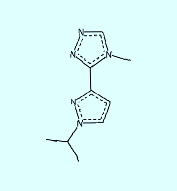 CC(C)n1ccc(-c2nncn2C)n1